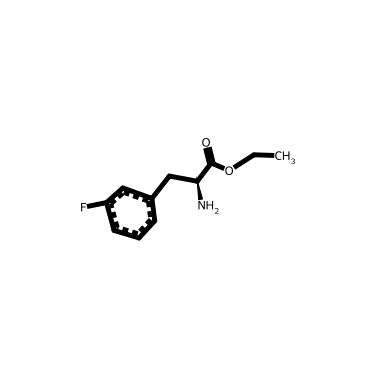 CCOC(=O)[C@@H](N)Cc1cccc(F)c1